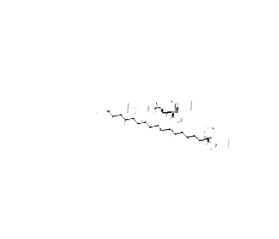 CCCCCCCCCCCCCCCCCC(=O)O.CNCC(C)N